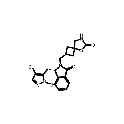 Cn1ncc(Cl)c1C[C@H]1c2ccccc2C(=O)N1CC1CC2(CNC(=O)O2)C1